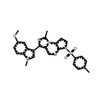 COc1ccc2c(c1)c(-c1nc(C)n3c1cnc1c3ccn1S(=O)(=O)c1ccc(C)cc1)cn2C